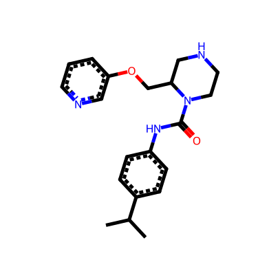 CC(C)c1ccc(NC(=O)N2CCNCC2COc2cccnc2)cc1